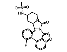 CS(=O)(=O)NC1CCN2C(=O)N(c3noc4cccc(-c5c(F)cccc5F)c34)CC2C1